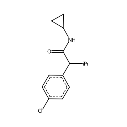 CC(C)C(C(=O)NC1CC1)c1ccc(Cl)cc1